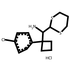 Cl.NC(C1SCCCS1)C1(c2ccc(Cl)cc2)CCC1